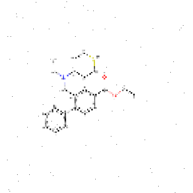 CCOC(=O)c1ccc(-c2ccccc2)c(CN(CC)C2CCSCC2)c1